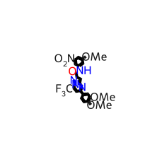 COc1cc(NC(=O)c2cc3nc(-c4ccc(OC)c(OC)c4)cc(C(F)(F)F)n3n2)cc([N+](=O)[O-])c1